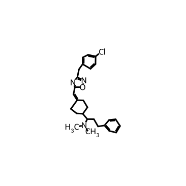 CN(C)C(CCc1ccccc1)C1CCC(=Cc2nc(Cc3ccc(Cl)cc3)no2)CC1